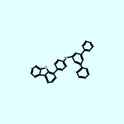 c1ccc(-c2cc(Nc3ccc(-c4cccc5c4oc4ccccc45)cc3)cc(-c3ccccc3)c2)cc1